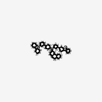 c1cc(-c2ccc3c(c2)oc2ccccc23)cc(N(c2ccc(-c3cccc(-n4c5ccccc5c5ccccc54)c3)cc2)c2ccc3ccc4ccccc4c3c2)c1